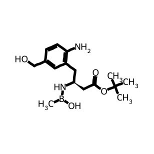 CB(O)N[C@H](CC(=O)OC(C)(C)C)Cc1cc(CO)ccc1N